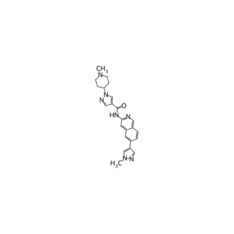 CN1CCC(n2cc(C(=O)Nc3cc4cc(-c5cnn(C)c5)ccc4cn3)cn2)CC1